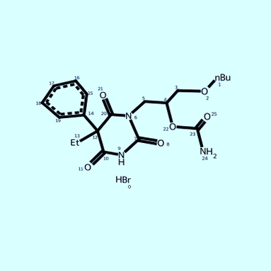 Br.CCCCOCC(CN1C(=O)NC(=O)C(CC)(c2ccccc2)C1=O)OC(N)=O